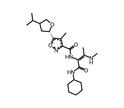 CN/C(C)=C(/NC(=O)c1noc([C@@H]2CC(C(C)C)CO2)c1C)C(=O)NC1CCCCC1